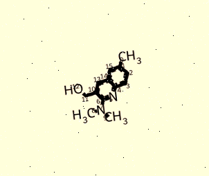 Cc1ccc2nc(N(C)C)c(CO)cc2c1